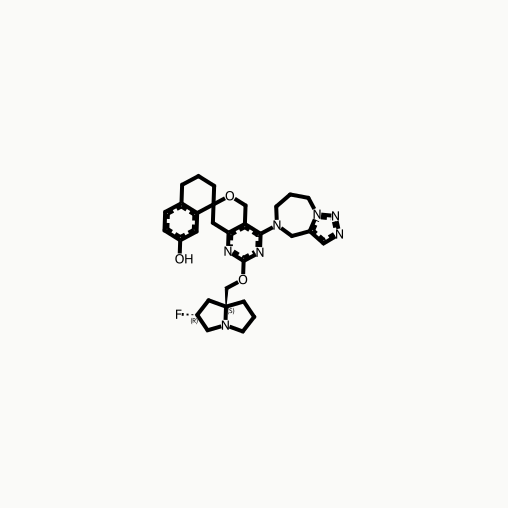 Oc1ccc2c(c1)C1(CCC2)Cc2nc(OC[C@@]34CCCN3C[C@H](F)C4)nc(N3CCCn4nncc4C3)c2CO1